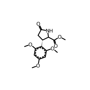 COC(=O)C1NC(=O)C[C@H]1c1c(OC)cc(OC)cc1OC